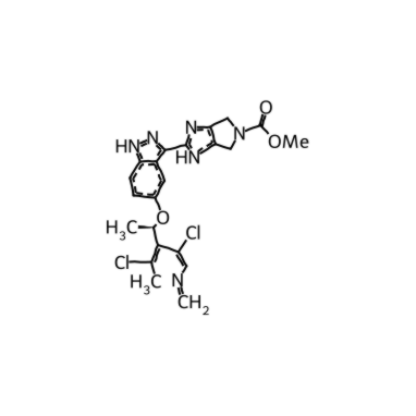 C=N/C=C(Cl)\C(=C(/C)Cl)[C@@H](C)Oc1ccc2[nH]nc(-c3nc4c([nH]3)CN(C(=O)OC)C4)c2c1